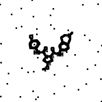 CO[C@@H]1C[C@H](C(=O)Nc2ccc3c(c2)CCN(C)C3)N(C(=O)Nc2ccc(Cl)cc2)C1